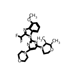 COc1cccc2c1nc(C(F)F)n2-c1nc(N2CCOCC2)cc(N2CCO[C@H](C)[C@@H]2C)n1